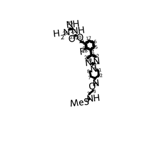 CSNCCON=C1CCN(c2ncc(-c3cccc(COC(=O)NC(=N)N)c3F)cn2)CC1